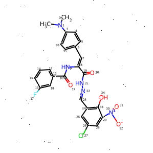 CN(C)c1ccc(/C=C(\NC(=O)c2cccc(F)c2)C(=O)N/N=C/c2cc(Cl)cc([N+](=O)[O-])c2O)cc1